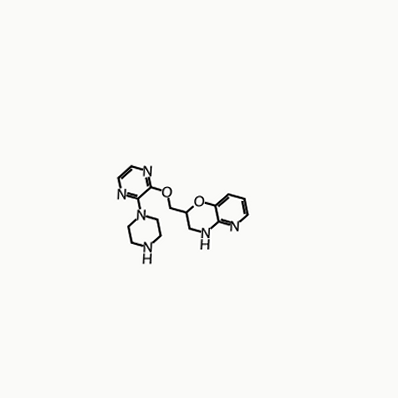 c1cnc2c(c1)OC(COc1nccnc1N1CCNCC1)CN2